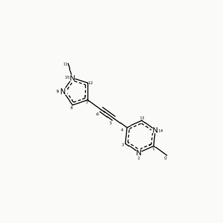 Cc1ncc(C#Cc2cnn(C)c2)cn1